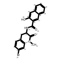 COC(=O)C(Cc1ccc(Br)cc1)NC(=O)c1cc2ccccc2cc1O